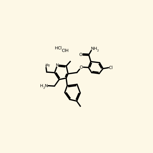 Cc1ccc(-c2c(COc3ccc(Cl)cc3C(N)=O)c(C)nc(CC(C)C)c2CN)cc1.Cl.Cl